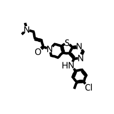 Cc1cc(Nc2ncnc3sc4c(c23)CCN(C(=O)C=CCN(C)C)C4)ccc1Cl